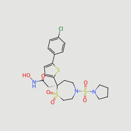 O=C(C[C@]1(c2ccc(-c3ccc(Cl)cc3)s2)CCN(S(=O)(=O)N2CCCC2)CCS1(=O)=O)NO